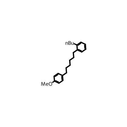 CCCCc1ccccc1CCCCCCc1ccc(OC)cc1